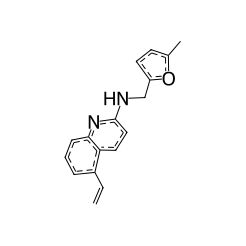 C=Cc1cccc2nc(NCc3ccc(C)o3)ccc12